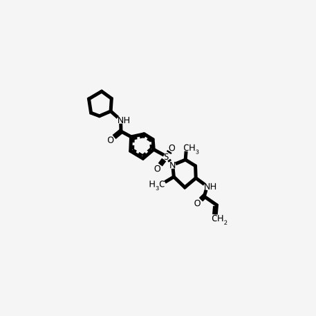 C=CC(=O)NC1CC(C)N(S(=O)(=O)c2ccc(C(=O)NC3CCCCC3)cc2)C(C)C1